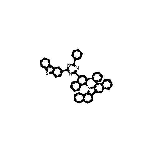 c1ccc(-c2nc(-c3ccc4sc5ccccc5c4c3)nc(-c3cc(-c4ccccc4)c(-n4c5cc6ccccc6cc5c5ccc6ccccc6c54)c4ccccc34)n2)cc1